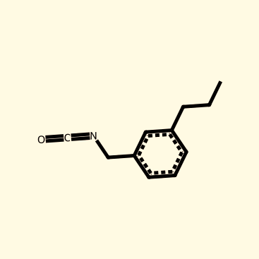 CCCc1cccc(CN=C=O)c1